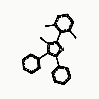 Cc1cccc(C)c1-c1nc(-c2ccccc2)c(-c2ccccc2)n1C